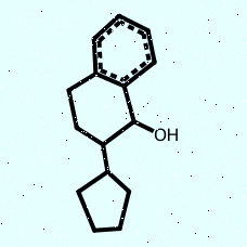 OC1c2ccccc2CCC1C1CCCC1